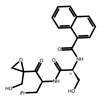 CC(C)CC(NC(=O)[C@H](CO)NC(=O)c1cccc2ccccc12)C(=O)C1(CO)CO1